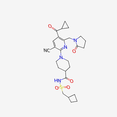 N#Cc1cc(C(=O)C2CC2)c(CN2CCCC2=O)nc1N1CCC(C(=O)NS(=O)(=O)CC2CCC2)CC1